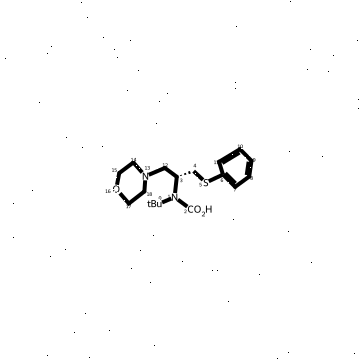 CC(C)(C)N(C(=O)O)[C@@H](CSc1ccccc1)CN1CCOCC1